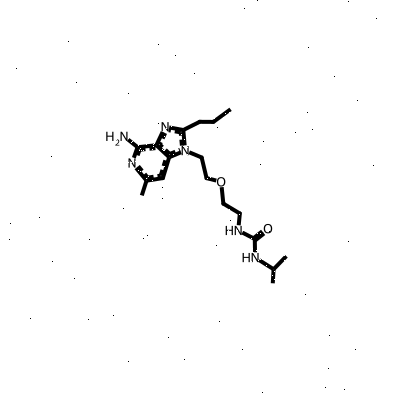 CCCc1nc2c(N)nc(C)cc2n1CCOCCNC(=O)NC(C)C